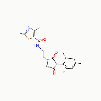 Cc1cc(C)c(C2C(=O)CC(CCNC(=O)c3sc(C)nc3C)C2=O)c(C)c1